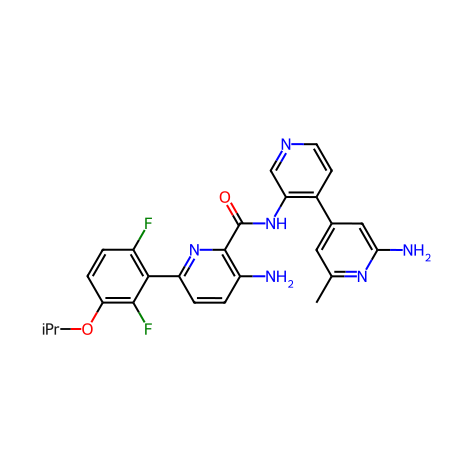 Cc1cc(-c2ccncc2NC(=O)c2nc(-c3c(F)ccc(OC(C)C)c3F)ccc2N)cc(N)n1